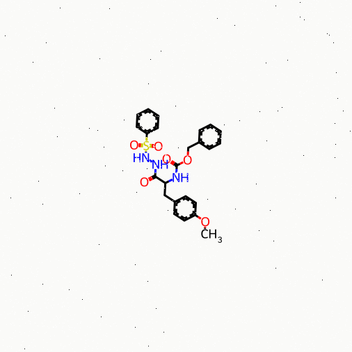 COc1ccc(CC(NC(=O)OCc2ccccc2)C(=O)NNS(=O)(=O)c2ccccc2)cc1